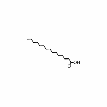 CCCCCCCCCCC=CC=CC(=O)O